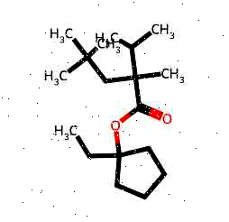 CCC1(OC(=O)C(C)(CC(C)(C)C)C(C)C)CCCC1